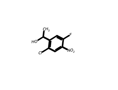 CC(O)c1cc(F)c([N+](=O)[O-])cc1Cl